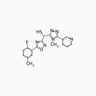 Cc1ccc(F)c(-c2nc(C(S)c3nnc(-c4cccnc4)n3C)no2)c1